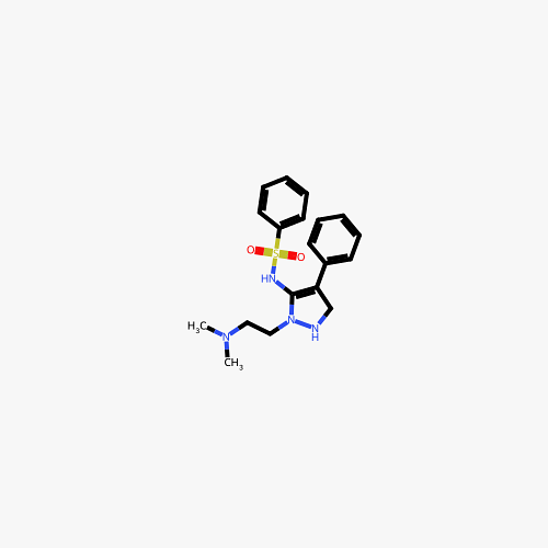 CN(C)CCN1NCC(c2ccccc2)=C1NS(=O)(=O)c1ccccc1